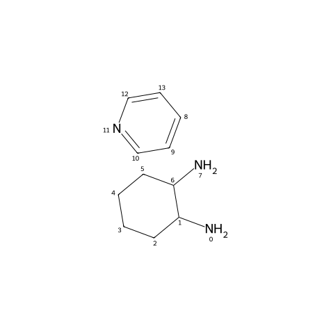 NC1CCCCC1N.c1ccncc1